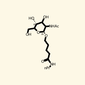 CCCNC(=O)CCCCO[C@@H]1OC(CO)[C@H](O)C(O)C1NC(C)=O